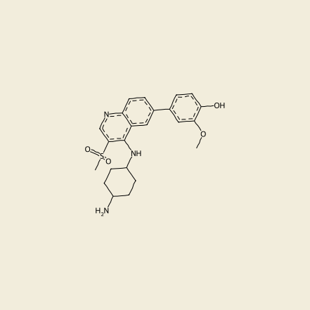 COc1cc(-c2ccc3ncc(S(C)(=O)=O)c(NC4CCC(N)CC4)c3c2)ccc1O